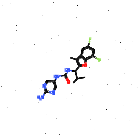 Cc1c(C(NC(=O)Nc2cnc(N)nc2)C(C)C)oc2c(F)cc(F)cc12